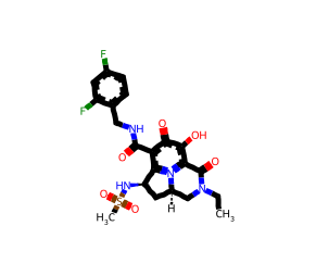 CCN1C[C@H]2C[C@@H](NS(C)(=O)=O)c3c(C(=O)NCc4ccc(F)cc4F)c(=O)c(O)c(n32)C1=O